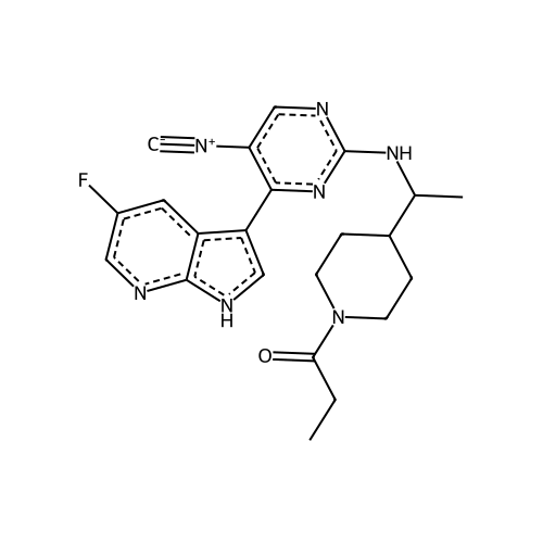 [C-]#[N+]c1cnc(NC(C)C2CCN(C(=O)CC)CC2)nc1-c1c[nH]c2ncc(F)cc12